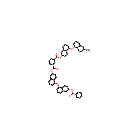 Cc1ccc2c(Oc3cccc4cc(OC(=O)c5cccc(C(=O)Oc6ccc7c(Oc8cccc9cc(OC(=O)c%10ccccc%10)ccc89)cccc7c6)c5)ccc34)cccc2c1